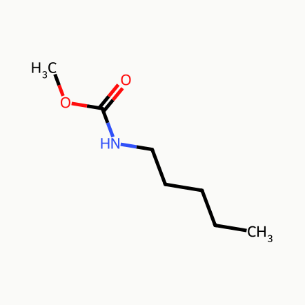 CCCCCNC(=O)OC